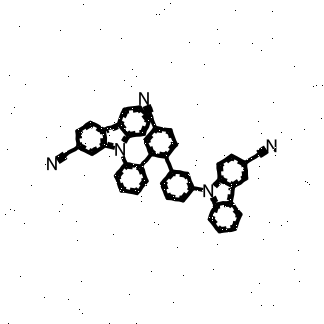 N#Cc1ccc(-c2cccc(-n3c4ccccc4c4cc(C#N)ccc43)c2)c(-c2ccccc2-n2c3ccccc3c3ccc(C#N)cc32)c1